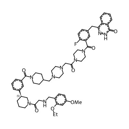 CCOc1cc(OC)ccc1CNCC(=O)N1CCC[C@@H](c2cccc(C(=O)N3CCC(CN4CCN(CC(=O)N5CCN(C(=O)c6cc(Cc7n[nH]c(=O)c8ccccc78)ccc6F)CC5)CC4)CC3)c2)C1